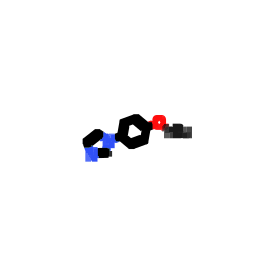 CCCCOc1ccc(-n2[c]ncc2)cc1